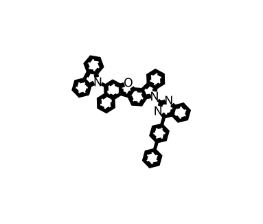 c1ccc(-c2ccc(-c3nc(-n4c5ccccc5c5c6oc7cc(-n8c9ccccc9c9ccccc98)c8ccccc8c7c6ccc54)nc4ccccc34)cc2)cc1